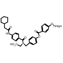 CCCCCCCOc1ccc(C(=O)Oc2ccc(CN(CC(=O)O)C(=O)c3ccc(NC(=O)CC4CCCCC4)cc3)cc2)cc1